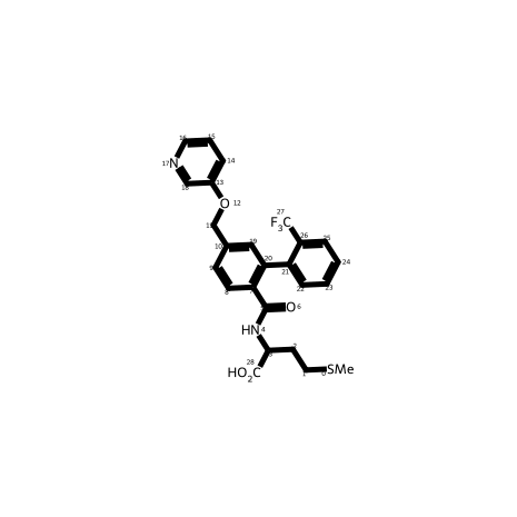 CSCCC(NC(=O)c1ccc(COc2cccnc2)cc1-c1ccccc1C(F)(F)F)C(=O)O